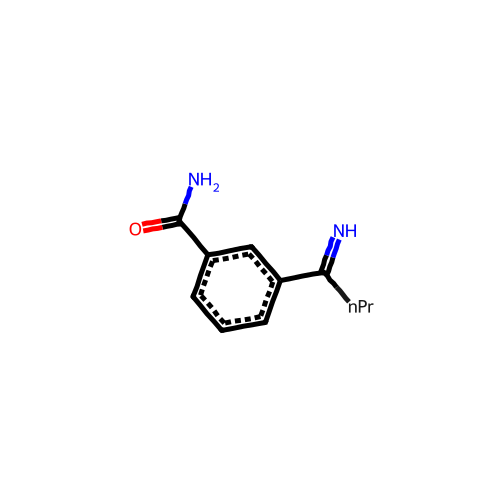 CCCC(=N)c1cccc(C(N)=O)c1